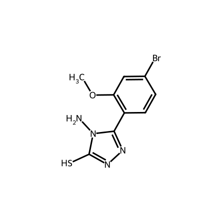 COc1cc(Br)ccc1-c1nnc(S)n1N